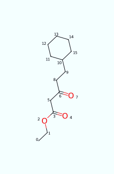 CCOC(=O)CC(=O)CCC1CCCCC1